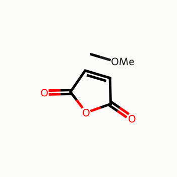 COC.O=C1C=CC(=O)O1